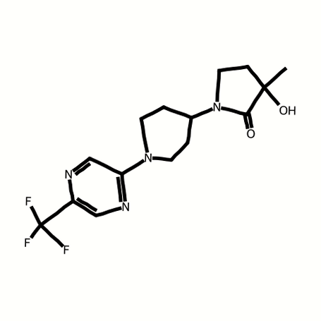 CC1(O)CCN(C2CCN(c3cnc(C(F)(F)F)cn3)CC2)C1=O